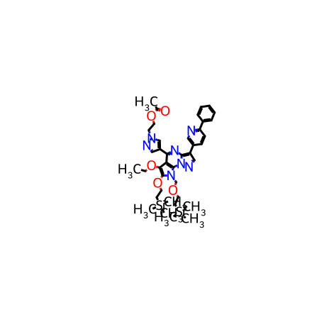 CCOc1c(OCC[Si](C)(C)C)n(COCC[Si](C)(C)C)c2c1c(-c1cnn(CCOC(C)=O)c1)nc1c(-c3ccc(-c4ccccc4)nc3)cnn12